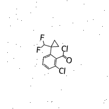 O=C(Cl)c1c(Cl)cccc1C1(C(F)F)CC1